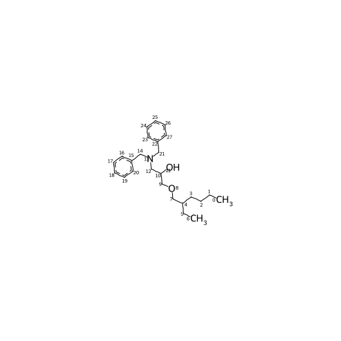 CCCCC(CC)COCC(O)CN(Cc1ccccc1)Cc1ccccc1